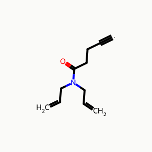 [C]#CCCC(=O)N(CC=C)CC=C